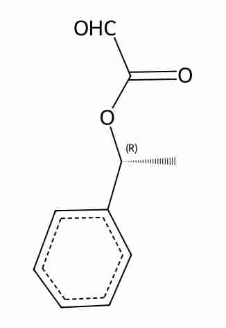 C[C@@H](OC(=O)C=O)c1ccccc1